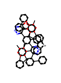 Cc1cc2c(c(-c3c(-c4ccccc4)nnnc3-c3cc(-c4ccccc4)c(-c4nnnc(-c5ccccc5-c5ccccc5)c4-c4c(C)c(C)cc5c4Cc4ccccc4-5)c(-c4cccc5[se]c6ccccc6c45)c3-c3cccc4oc5ccccc5c34)c1C)Cc1ccccc1-2